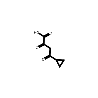 O=C(O)C(=O)CC(=O)C1CC1